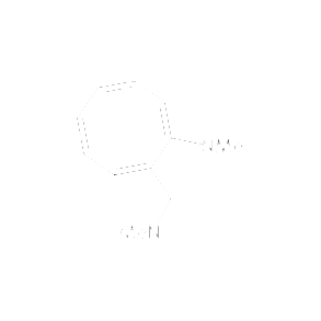 CNCC1=C/C=C\C=C/C=C\1NC